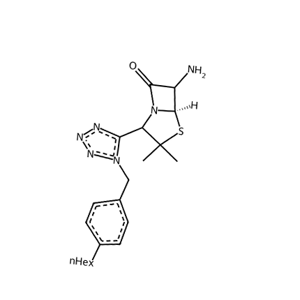 CCCCCCc1ccc(Cn2nnnc2C2N3C(=O)C(N)[C@H]3SC2(C)C)cc1